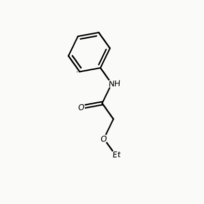 CCOCC(=O)Nc1[c]cccc1